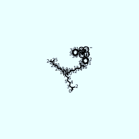 CC(C)CCCCC[N+](C)(CCCCCC(C)C)CCCCCC(C)C.O=P([O-])(Oc1ccccc1)Oc1ccccc1